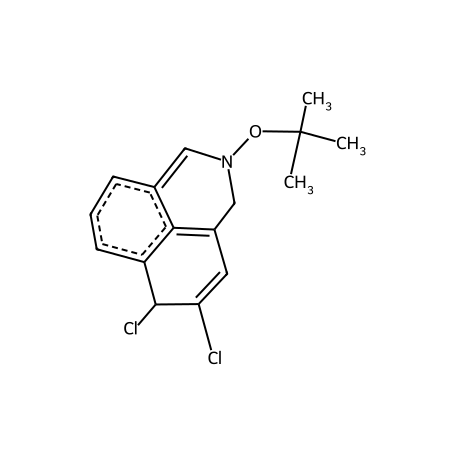 CC(C)(C)ON1C=c2cccc3c2=C(C=C(Cl)C3Cl)C1